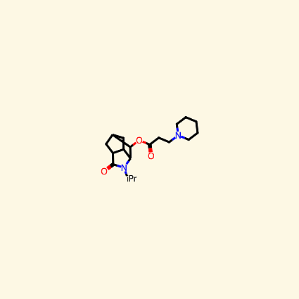 CC(C)N1C(=O)C2CC3CC2C1C3OC(=O)CCN1CCCCC1